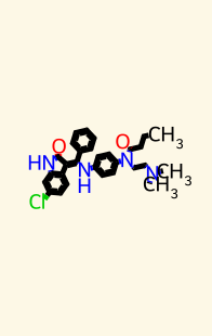 CCCC(=O)N(CCN(C)C)c1ccc(NC(=C2C(=O)Nc3cc(Cl)ccc32)c2ccccc2)cc1